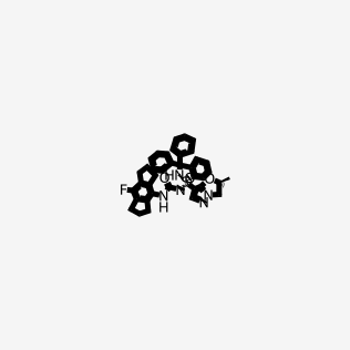 C[C@H]1Cn2ncc([S@@](=O)(=NC(=O)Nc3c4c(c(F)c5c3CCC5)CCC4)NC(c3ccccc3)(c3ccccc3)c3ccccc3)c2O1